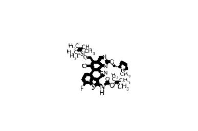 CN1CCC[C@H]1COc1ncc2c(CO[Si](C)(C)C(C)(C)C)c(Cl)c(-c3ccc(F)c4sc(NC(=O)OC(C)(C)C)c(C#N)c34)c(F)c2n1